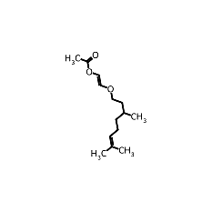 CC(=O)O/C=C/OCCC(C)CCC=C(C)C